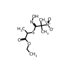 CCOC(=O)C(C)SC(=NO)C(C)(C)[N+](=O)[O-]